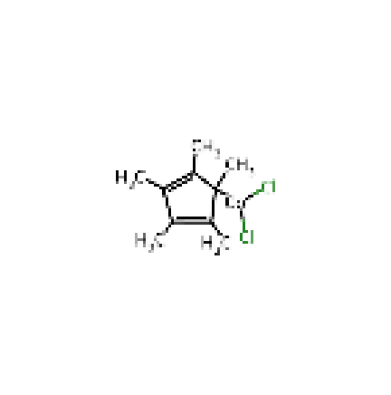 CC1=C(C)[C](C)([Co]([Cl])[Cl])C(C)=C1C